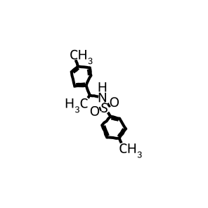 Cc1ccc(C(C)NS(=O)(=O)c2ccc(C)cc2)cc1